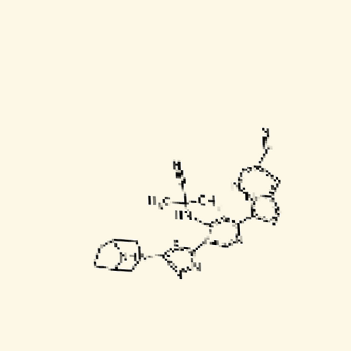 CC(C)(C#N)Nc1cc(-c2ccc3cc(C#N)cnn23)ncc1-c1nnc(N2CC3CCC(C2)N3)s1